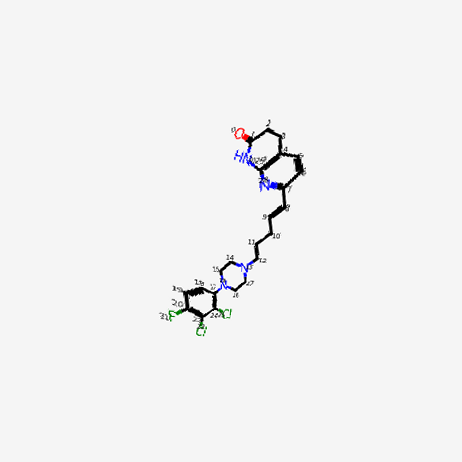 O=C1CCc2ccc(C=CCCCN3CCN(c4ccc(F)c(Cl)c4Cl)CC3)nc2N1